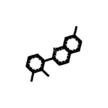 Cc1ccc2ccc(-c3cccc(C)c3C)nc2c1